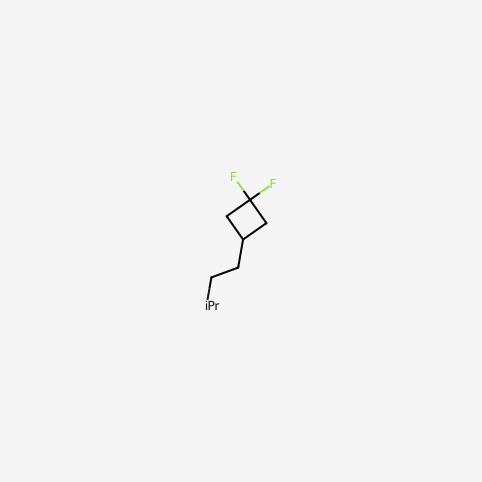 CC(C)CCC1CC(F)(F)C1